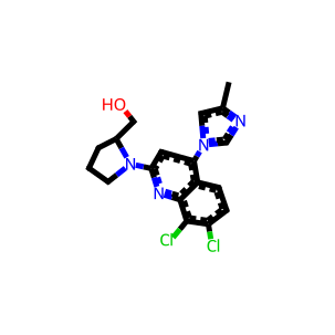 Cc1cn(-c2cc(N3CCCC3CO)nc3c(Cl)c(Cl)ccc23)cn1